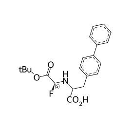 CC(C)(C)OC(=O)[C@H](F)NC(Cc1ccc(-c2ccccc2)cc1)C(=O)O